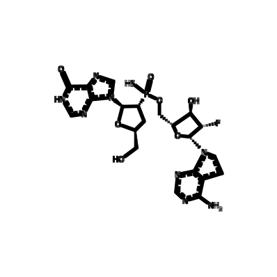 Nc1ncnc2c1ccn2[C@@H]1O[C@H](COP(=O)(S)[C@@H]2C[C@@H](CO)O[C@H]2n2cnc3c(=O)[nH]cnc32)[C@@H](O)[C@@H]1F